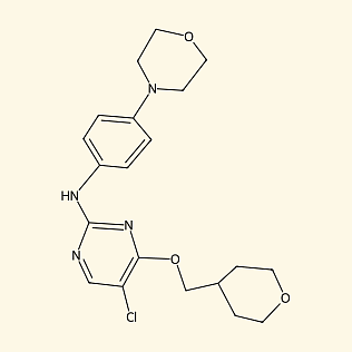 Clc1cnc(Nc2ccc(N3CCOCC3)cc2)nc1OCC1CCOCC1